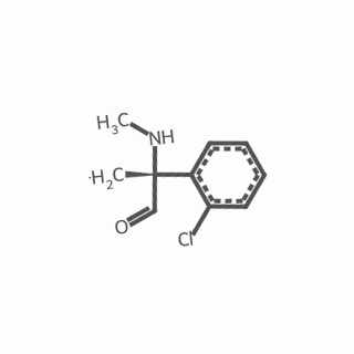 [CH2][C@@](C=O)(NC)c1ccccc1Cl